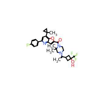 C=C(C1CC(O)(C(F)(F)F)C1)N1CCN(C(=O)c2cc3nc(-c4ccc(F)cc4)cc(C4(C)CC4)c3o2)C(C)(C)C1